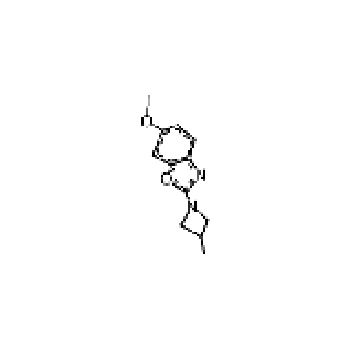 COc1ccc2nc(N3CC(C)C3)oc2c1